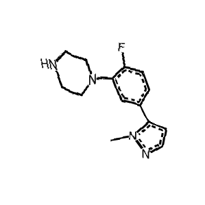 Cn1nccc1-c1ccc(F)c(N2CCNCC2)c1